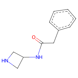 O=C(Cc1ccccc1)NC1CNC1